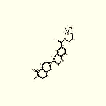 Cn1ccc2cc(-c3cnc4ccc(C(=O)N5CCC[C@@](C)(O)C5)cc4n3)ccc2c1=O